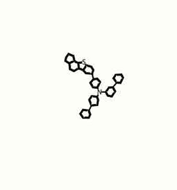 c1ccc(-c2ccc(N(c3ccc(-c4ccc5sc6c7ccccc7ccc6c5c4)cc3)c3cccc(-c4ccccc4)c3)cc2)cc1